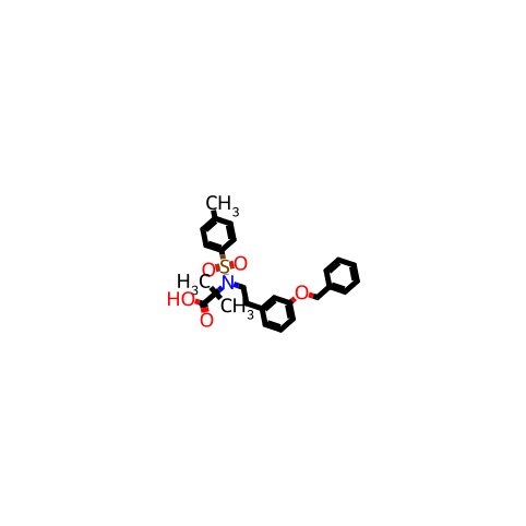 Cc1ccc(S(=O)(=O)N(CCc2cccc(OCc3ccccc3)c2)C(C)(C)C(=O)O)cc1